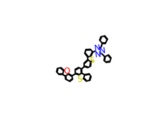 c1ccc(-c2nc(-c3ccccc3)nc(-c3cccc4c3sc3ccc(-c5ccc(-c6cccc7c6oc6ccccc67)c6sc7ccccc7c56)cc34)n2)cc1